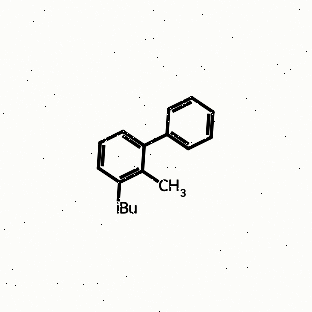 CCC(C)c1cccc(-c2ccccc2)c1C